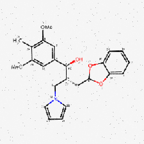 COc1cc([C@@H](O)[C@H](CC2Oc3ccccc3O2)Cn2c[c]cc2)cc(OC)c1C